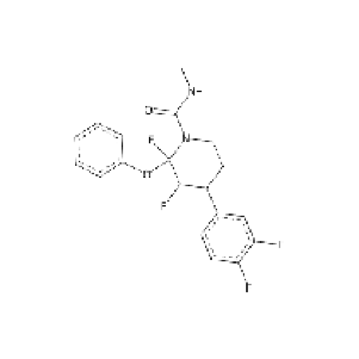 CNC(=O)N1CCC(c2ccc(F)c(F)c2)C(F)C1(F)Oc1ccccc1